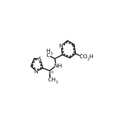 CC(N[C@@H](C)c1nccs1)c1cc(C(=O)O)ccn1